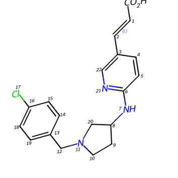 O=C(O)/C=C/c1ccc(NC2CCN(Cc3ccc(Cl)cc3)C2)nc1